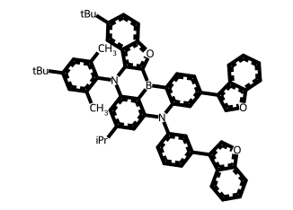 Cc1cc(C(C)(C)C)cc(C)c1N1c2cc(C(C)C)cc3c2B(c2ccc(-c4coc5ccccc45)cc2N3c2cccc(-c3coc4ccccc34)c2)c2oc3ccc(C(C)(C)C)cc3c21